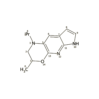 CC1CN(C(C)C)c2cc3cc[nH]c3nc2O1